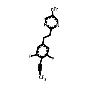 CCCc1cnc(CCc2cc(F)c(C#CC(F)(F)F)c(F)c2)nc1